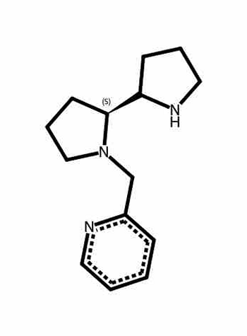 c1ccc(CN2CCC[C@H]2C2CCCN2)nc1